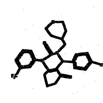 N#Cc1ccc(C2C3=C(CCCC3=O)N(c3cccc(C(F)(F)F)c3)C(=O)N2CC2CCOCC2)cc1